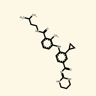 Cc1c(Nc2ccc(C(=O)N=C3NCCCN3)cc2C2CC2)cccc1C(=O)NCCC(C)C